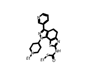 CCSC(=O)Nc1nc2c(s1)-c1c(c(-c3cccnc3)nn1C1CCN(CC)CC1)CC2